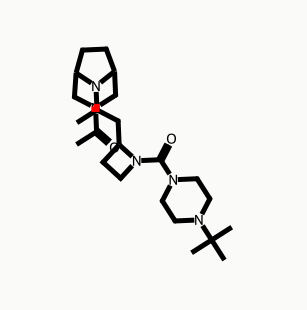 CC(=O)N1CC2CCC(C1)N2C(C)CC1CCN1C(=O)N1CCN(C(C)(C)C)CC1